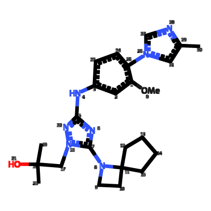 COc1cc(Nc2nc(N3CCC34CCCC4)n(CC(C)(C)O)n2)ccc1-n1cnc(C)c1